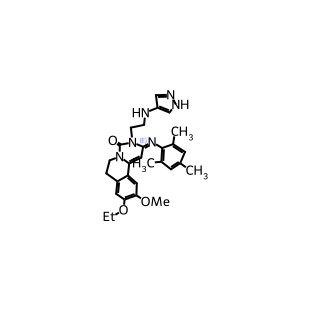 CCOc1cc2c(cc1OC)-c1c/c(=N\c3c(C)cc(C)cc3C)n(CCNc3cn[nH]c3)c(=O)n1CC2